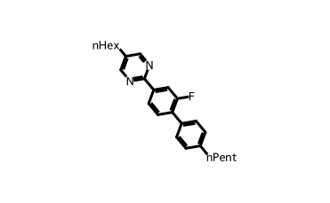 CCCCCCc1cnc(-c2ccc(-c3ccc(CCCCC)cc3)c(F)c2)nc1